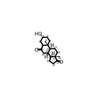 C[C@]12CC[C@@H](O)CC1C(=O)C[C@@H]1[C@@H]2CC[C@]2(C)C(=O)CC[C@@H]12